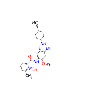 C#C[C@H]1CC[C@H](N/C=C2/C=C(NC(=O)c3cccc(C)[n+]3O)C(OCC)=CC2=N)CC1